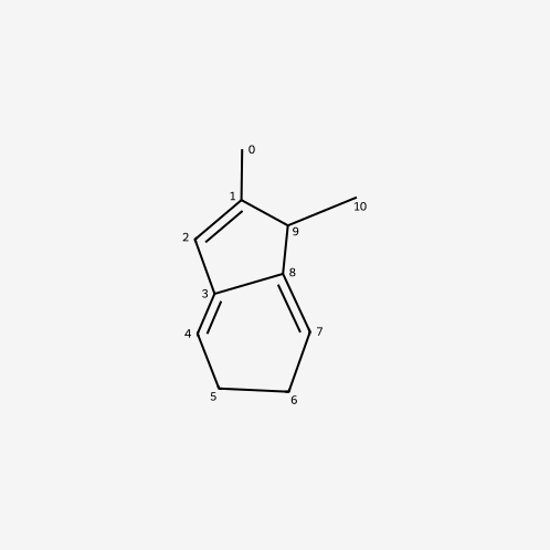 CC1=CC2=CCCC=C2C1C